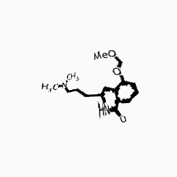 COCOc1cccc2c(=O)[nH]c(CCCN(C)C)cc12